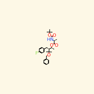 C[C@H](NC(=O)OC(C)(C)C)C(=O)O[C@@H](C)[C@H](Cc1ccc(F)cc1)C(C)(C)OCc1ccccc1